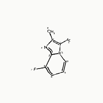 CC(=O)c1c(C)nc2c(F)cccn12